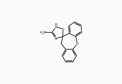 NC1=NC2(Cc3ccccc3Oc3ccccc32)ON1